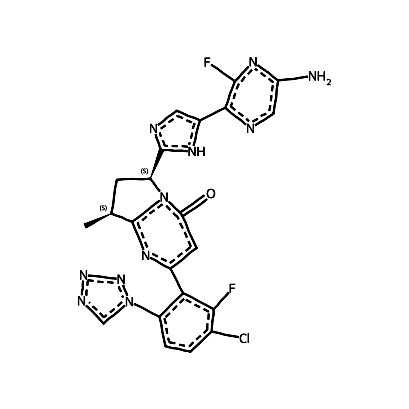 C[C@H]1C[C@@H](c2ncc(-c3ncc(N)nc3F)[nH]2)n2c1nc(-c1c(-n3cnnn3)ccc(Cl)c1F)cc2=O